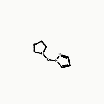 c1cnn(SN2CCCC2)c1